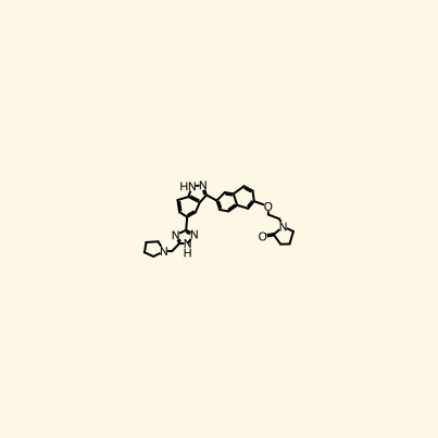 O=C1CCCN1CCOc1ccc2cc(-c3n[nH]c4ccc(-c5n[nH]c(CN6CCCC6)n5)cc34)ccc2c1